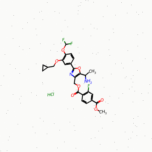 COC(=O)c1ccc(C(=O)OCc2nc(-c3ccc(OC(F)F)c(OCC4CC4)c3)oc2C(C)N)c(F)c1.Cl